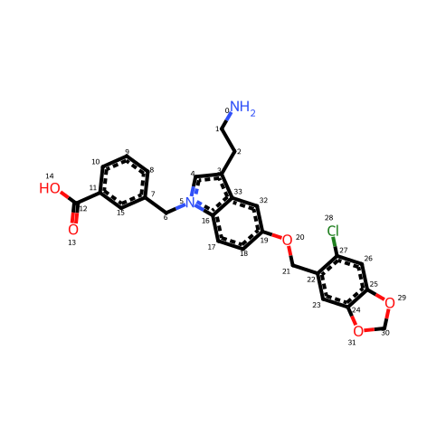 NCCc1cn(Cc2cccc(C(=O)O)c2)c2ccc(OCc3cc4c(cc3Cl)OCO4)cc12